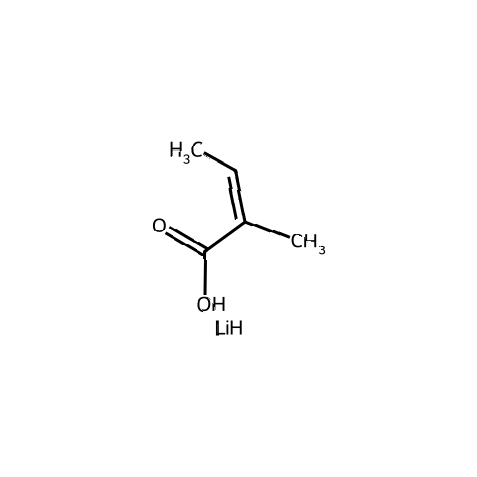 CC=C(C)C(=O)O.[LiH]